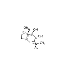 CC(=O)N(C)[C@H]1CN2CC[C@H](O)[C@@H]2[C@@H](O)[C@@H]1O